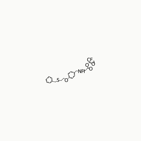 O=C(CCNCc1ccc(OCCSCc2ccccc2)cc1)OC(=O)C(F)(F)F